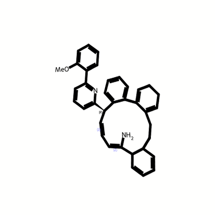 COc1ccccc1-c1cccc([C@@H]2/C=C\C=C(/N)C3C=CC=CC3CCC3=CCCC=C3c3ccccc32)n1